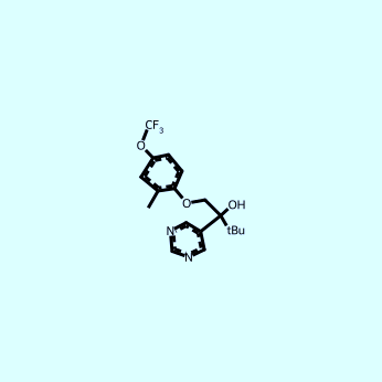 Cc1cc(OC(F)(F)F)ccc1OCC(O)(c1cncnc1)C(C)(C)C